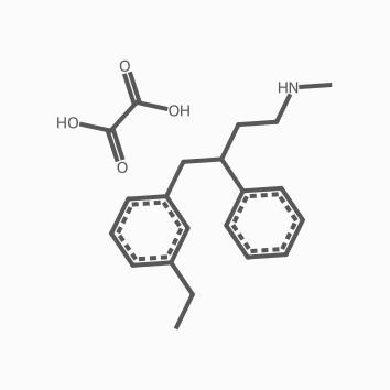 CCc1cccc(CC(CCNC)c2ccccc2)c1.O=C(O)C(=O)O